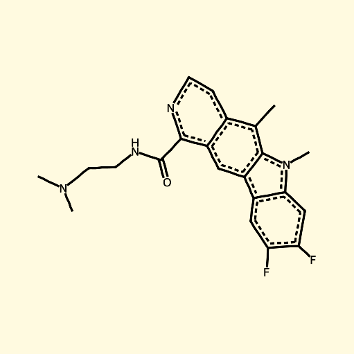 Cc1c2ccnc(C(=O)NCCN(C)C)c2cc2c3cc(F)c(F)cc3n(C)c12